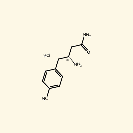 Cl.N#Cc1ccc(C[C@@H](N)CC(N)=O)cc1